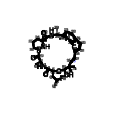 C[C@@H]1NC(=O)[C@H](CC(F)F)OC(O)C(C)(C)/C=C/c2ccc3ccc(nc3c2)[C@@H](C)NC(=O)[C@@H]2CCCN(N2)C1=O